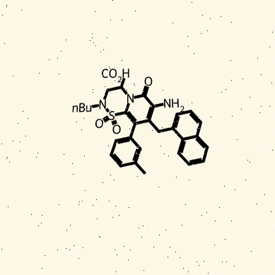 CCCCN1CC(C(=O)O)n2c(c(-c3cccc(C)c3)c(Cc3cccc4ccccc34)c(N)c2=O)S1(=O)=O